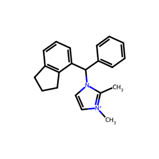 Cc1n(C(c2ccccc2)c2cccc3c2CCC3)cc[n+]1C